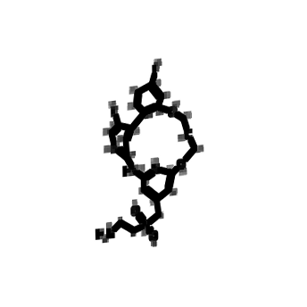 NCCS(=O)(=O)Cc1cc2nc(c1)OCCCOc1cc(F)ccc1-c1cc(ncc1F)N2